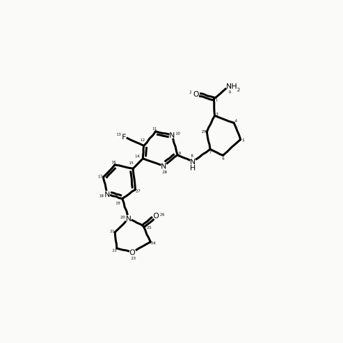 NC(=O)C1CCCC(Nc2ncc(F)c(-c3ccnc(N4CCOCC4=O)c3)n2)C1